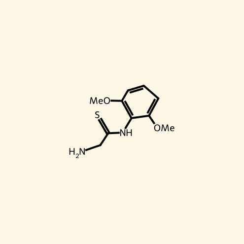 COc1cccc(OC)c1NC(=S)CN